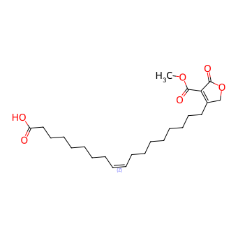 COC(=O)C1=C(CCCCCCCC/C=C\CCCCCCCC(=O)O)COC1=O